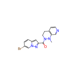 CN1c2cnccc2CCN1C(=O)c1cc2ccc(Br)cn2n1